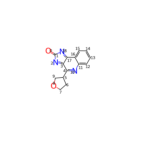 O=C1N=c2c(C3CCOC3)nc3ccccc3c2=N1